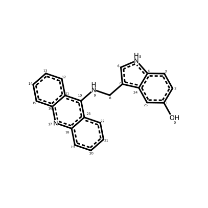 Oc1ccc2[nH]cc(CNc3c4ccccc4nc4ccccc34)c2c1